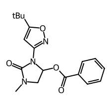 CN1CC(OC(=O)c2ccccc2)N(c2cc(C(C)(C)C)on2)C1=O